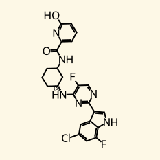 O=C(NC1CCC[C@H](Nc2nc(-c3c[nH]c4c(F)cc(Cl)cc34)ncc2F)C1)c1cccc(O)n1